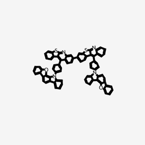 c1ccc2c(-c3ccc(-n4c5ccccc5c5c6oc7ccccc7c6ccc54)cc3)c3c(nc2c1)sc1cc(-c2ccc4c(-c5ccc(-n6c7ccccc7c7ccc8c9ccccc9oc8c76)cc5)c5c(nc4c2)sc2ccccc25)ccc13